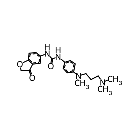 CN(C)CCCN(C)c1ccc(NC(=O)Nc2ccc3c(c2)C(=O)CO3)cc1